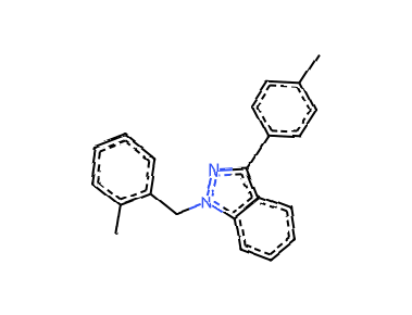 Cc1ccc(-c2nn(Cc3ccccc3C)c3ccccc23)cc1